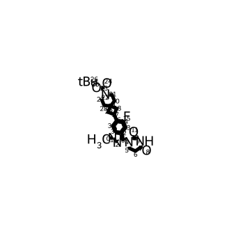 Cn1nc(N2CCC(=O)NC2=O)c2cc(F)c(C3CC4(CCN(C(=O)OC(C)(C)C)CC4)C3)cc21